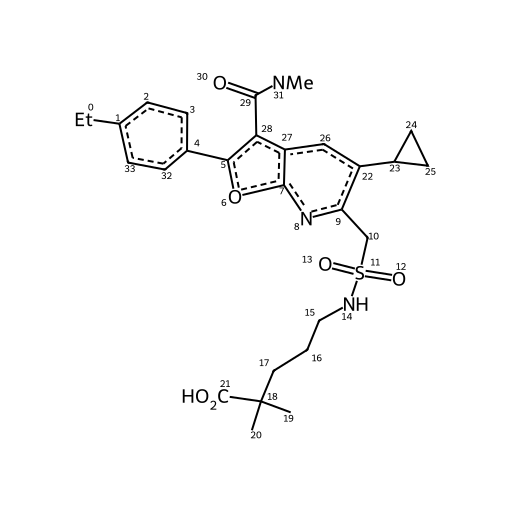 CCc1ccc(-c2oc3nc(CS(=O)(=O)NCCCC(C)(C)C(=O)O)c(C4CC4)cc3c2C(=O)NC)cc1